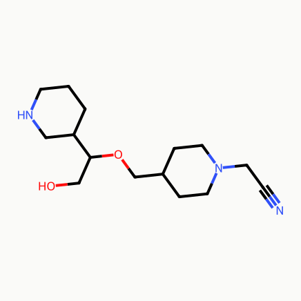 N#CCN1CCC(COC(CO)C2CCCNC2)CC1